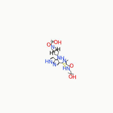 Cc1nc(-c2cnc3[nH]ccc3c2NC2C[C@@H]3CN(C(=O)[C@H](C)O)C[C@@H]3C2)sc1C(=O)NCC(C)(C)O